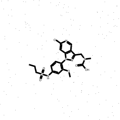 CCCS(=O)(=O)Nc1ccc(-n2nc(CN(C)C(=O)O)c3cnc(Cl)cc32)c(OC)c1